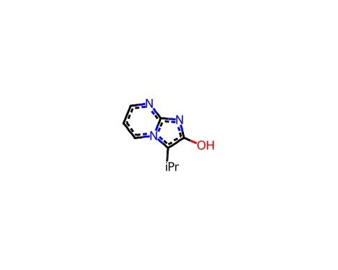 CC(C)c1c(O)nc2ncccn12